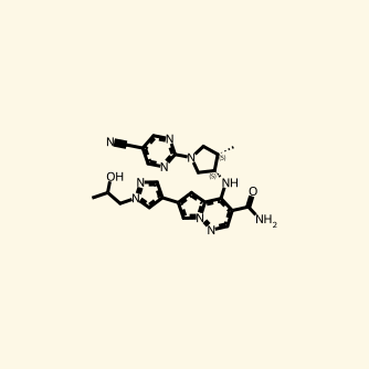 CC(O)Cn1cc(-c2cc3c(N[C@@H]4CN(c5ncc(C#N)cn5)C[C@@H]4C)c(C(N)=O)cnn3c2)cn1